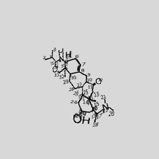 CC(C)[C@H]1N[C@H]2CC=C3CC4C(=O)C[C@]5(C)[C@@H]([C@H](C)N(C)C)[C@H](O)C[C@@]5(C)C4CCC3[C@]2(C)CO1